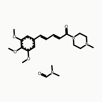 CN(C)C=O.COc1cc(C=CC=CC(=O)N2CCN(C)CC2)cc(OC)c1OC